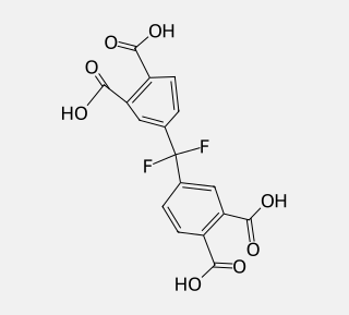 O=C(O)c1ccc(C(F)(F)c2ccc(C(=O)O)c(C(=O)O)c2)cc1C(=O)O